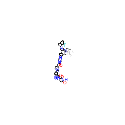 CN(C)[C@H]1CN(C2CCc3cccc(F)c32)C[C@@H]1c1ccc(N2CCN(C(=O)CC3CCN(c4ccc5nnn(C6CCC(=O)NC6=O)c(=O)c5c4)CC3)CC2)cc1